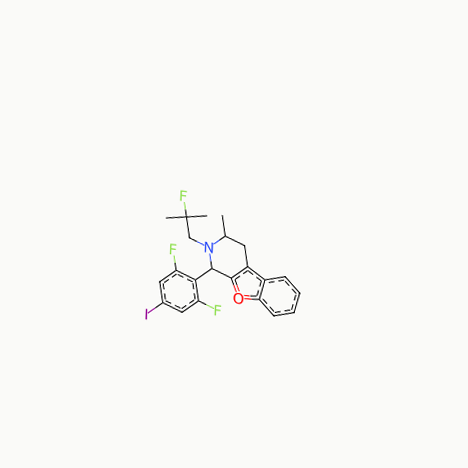 CC1Cc2c(oc3ccccc23)C(c2c(F)cc(I)cc2F)N1CC(C)(C)F